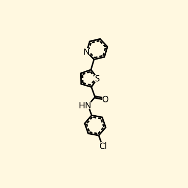 O=C(Nc1ccc(Cl)cc1)c1ccc(-c2ccccn2)s1